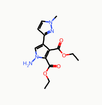 CCOC(=O)c1c(-c2ccn(C)n2)cn(N)c1C(=O)OCC